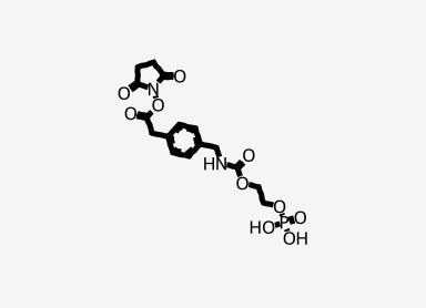 O=C(Cc1ccc(CNC(=O)OCCOP(=O)(O)O)cc1)ON1C(=O)CCC1=O